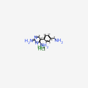 Cl.Cl.NCc1ccc(-c2cnc(N)nc2N)cc1